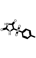 Cc1ccc(S(=O)(=O)C2NC(=O)NC2=O)cc1